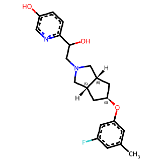 Cc1cc(F)cc(O[C@H]2C[C@@H]3CN(CC(O)c4ccc(O)cn4)C[C@@H]3C2)c1